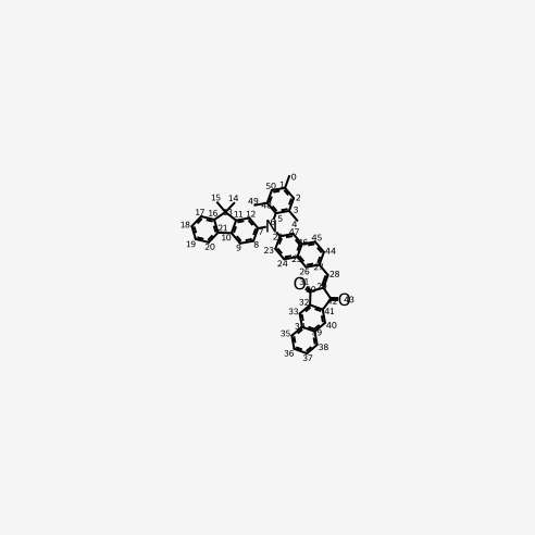 Cc1cc(C)c(N(c2ccc3c(c2)C(C)(C)c2ccccc2-3)c2ccc3cc(C=C4C(=O)c5cc6ccccc6cc5C4=O)ccc3c2)c(C)c1